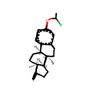 C=C1CC[C@@H]2[C@@H]3CCc4cc(OC(C)F)ccc4[C@@H]3CC[C@]12C